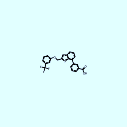 O=C(O)c1cccc(-c2cccc3cc(COc4cccc(C(F)(F)F)c4)sc23)c1